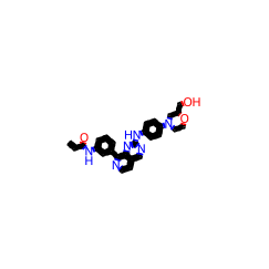 C=CC(=O)Nc1cccc(-c2nccc3cnc(Nc4ccc(N5CCOC(CO)C5)cc4)nc23)c1